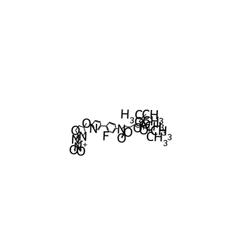 CC(C)(C)OP(=O)(OCC1CN(c2ccc(-c3ccc(OC4COc5nc([N+](=O)[O-])cn5C4)nc3)c(F)c2)C(=O)O1)OC(C)(C)C